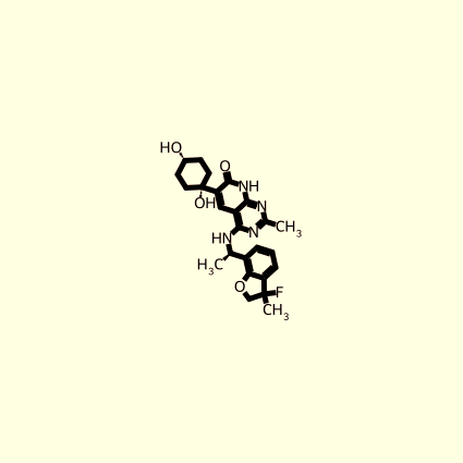 Cc1nc(N[C@H](C)c2cccc3c2OCC3(C)F)c2cc([C@]3(O)CC[C@@H](O)CC3)c(=O)[nH]c2n1